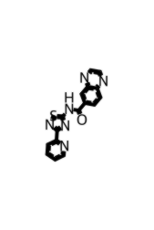 O=C(Nc1nc(-c2ccccn2)ns1)c1ccc2nccnc2c1